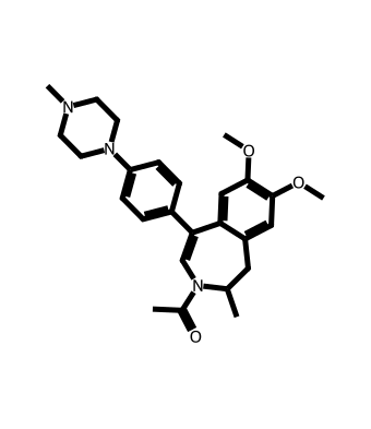 COc1cc2c(cc1OC)C(c1ccc(N3CCN(C)CC3)cc1)=CN(C(C)=O)C(C)C2